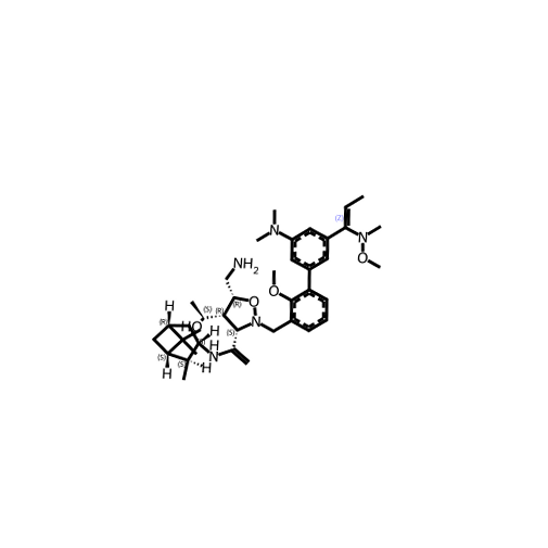 C=C(N[C@H]1C[C@H]2C[C@@H]([C@@H]1C)C2(C)C)[C@@H]1[C@H]([C@H](C)O)[C@H](CN)ON1Cc1cccc(-c2cc(/C(=C/C)N(C)OC)cc(N(C)C)c2)c1OC